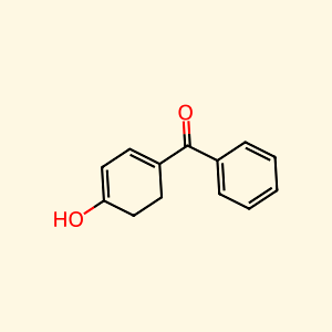 O=C(C1=CC=C(O)CC1)c1ccccc1